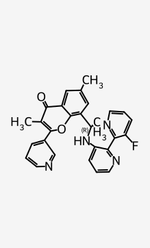 Cc1cc([C@@H](C)Nc2cccnc2-c2ncccc2F)c2oc(-c3cccnc3)c(C)c(=O)c2c1